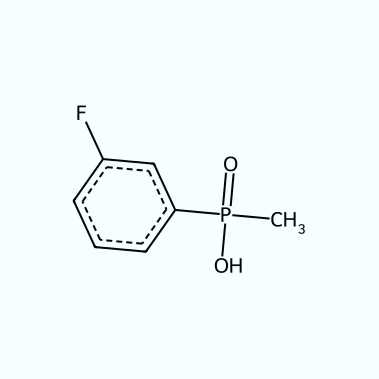 CP(=O)(O)c1cccc(F)c1